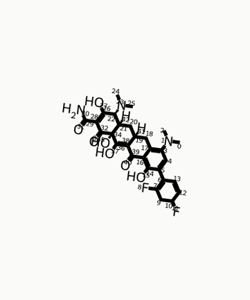 CN(C)c1cc(C2=C(F)CC(F)C=C2)c(O)c2c1C[C@H]1C[C@H]3[C@H](N(C)C)C(O)=C(C(N)=O)C(=O)[C@@]3(O)C(O)=C1C2=O